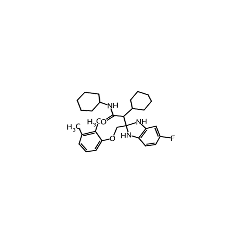 Cc1cccc(OCC2(C(C(=O)NC3CCCCC3)C3CCCCC3)Nc3ccc(F)cc3N2)c1C